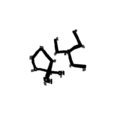 CCN(CC)CC.OC1(O)CCCO1